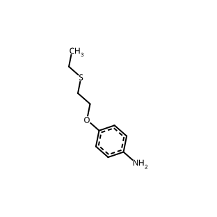 CCSCCOc1ccc(N)cc1